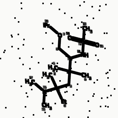 CCC(C)(CC(C)(C)C(COC(C)C)NS(C)(=O)=O)N(C)C